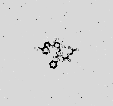 CCC(CC)COC(=O)[C@@H](C)N[P@](=O)(OC[C@@]1(C#N)O[C@@H](c2ccc3c(N)ncnn23)[C@H](O)[C@@H]1C)Oc1ccccc1